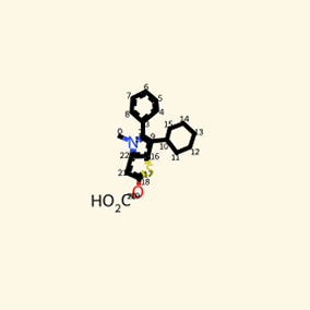 Cn1c(-c2ccccc2)c(C2CCCCC2)c2sc(OC(=O)O)cc21